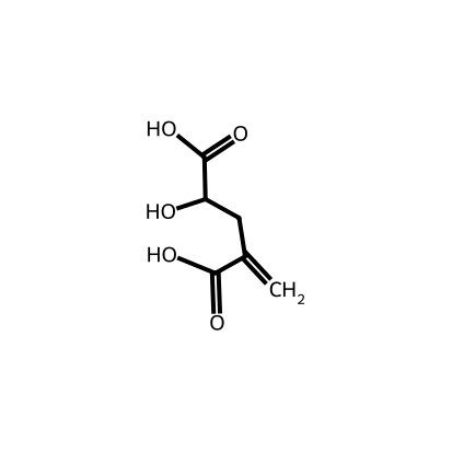 C=C(CC(O)C(=O)O)C(=O)O